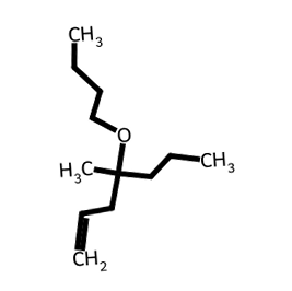 C=CCC(C)(CCC)OCCCC